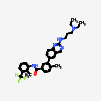 CCN(CC)CCCNc1ncc2cc(-c3cc(C(=O)Nc4cccc(C(F)(F)F)c4C)ccc3C)ccc2n1